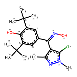 Cc1nn(C)c(Cl)c1C(=NO)c1cc(C(C)(C)C)c(O)c(C(C)(C)C)c1